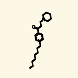 CCCCCCCCc1ccc(C(=O)CCN2CCCCC2)cc1